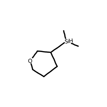 C[SiH](C)C1CCCOC1